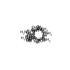 CC(C)CCCCC(=O)N[C@@H](CCN)C(=O)N[C@H](C(=O)N[C@H](CO)C(=O)N[C@H]1CCNC(=O)[C@H]([C@@H](C)O)NC(=O)[C@H](CCN)NC(=O)[C@H](CCN)NC(=O)[C@H]([C@@H](C)O)NC(=O)[C@@H](Cc2ccccc2)NC(=O)[C@H](CCN)NC1=O)[C@@H](C)O